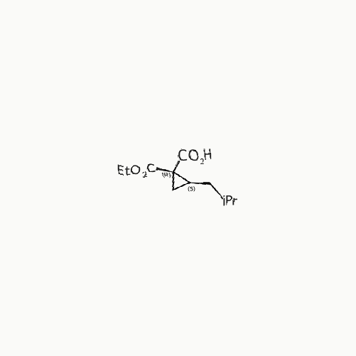 CCOC(=O)[C@]1(C(=O)O)C[C@@H]1CC(C)C